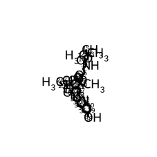 CCC1(OC(=O)CCNC(=O)OC(C)(C)C)C(=O)OC([Si](C)(C)CC)c2c1cc1n(c2=O)Cc2cc3cc(O)ccc3nc2-1